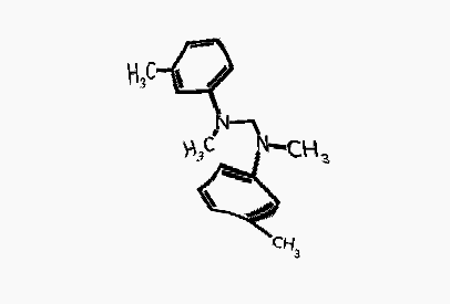 Cc1cccc(N(C)CN(C)c2cccc(C)c2)c1